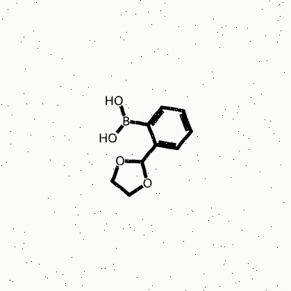 OB(O)c1ccccc1C1OCCO1